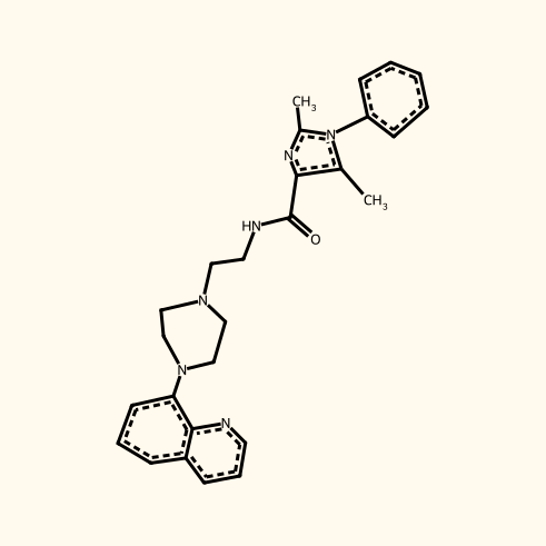 Cc1nc(C(=O)NCCN2CCN(c3cccc4cccnc34)CC2)c(C)n1-c1ccccc1